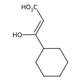 O=C(O)C=C(O)C1CCCCC1